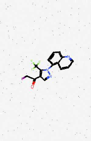 O=C(CI)c1cnn(-c2cccc3ncccc23)c1C(F)(F)F